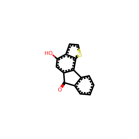 O=C1c2ccccc2-c2c1cc(O)c1ccsc21